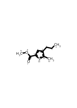 CCCc1cc(C(=O)OC)sc1C